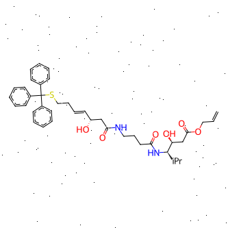 C=CCOC(=O)C[C@H](O)[C@H](NC(=O)CCCNC(=O)C[C@H](O)/C=C/CCSC(c1ccccc1)(c1ccccc1)c1ccccc1)C(C)C